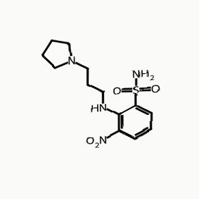 NS(=O)(=O)c1cccc([N+](=O)[O-])c1NCCCN1CCCC1